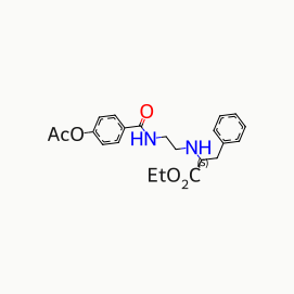 CCOC(=O)[C@H](Cc1ccccc1)NCCNC(=O)c1ccc(OC(C)=O)cc1